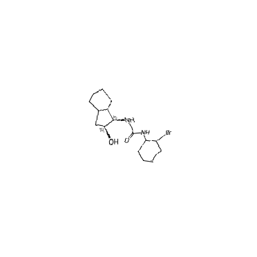 O=C(NC1CCCCC1Br)N[C@@H]1C2CCCCC2C[C@@H]1O